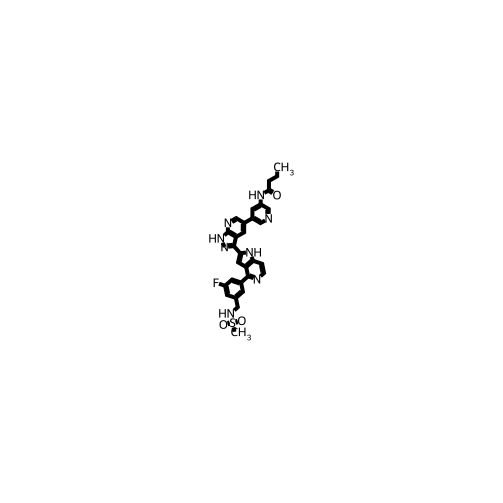 CCCC(=O)Nc1cncc(-c2cnc3[nH]nc(-c4cc5c(-c6cc(F)cc(CNS(C)(=O)=O)c6)nccc5[nH]4)c3c2)c1